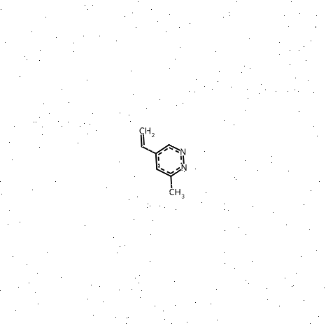 C=Cc1cnnc(C)c1